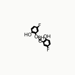 Oc1ccc(F)cc1OBOc1cc(F)ccc1O